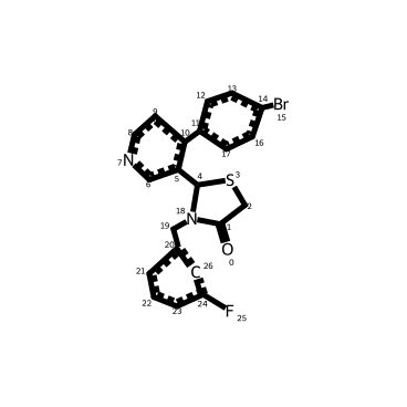 O=C1CSC(c2cnccc2-c2ccc(Br)cc2)N1Cc1cccc(F)c1